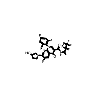 CC(NC(=O)c1cn(-c2c(F)cc(F)cc2F)c2nc(N3CCC(O)C3)c(F)cc2c1=O)C(F)(F)C(F)(F)F